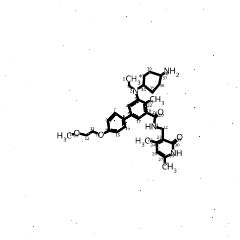 CCN(c1cc(-c2ccc(OCCOC)cc2)cc(C(=O)NCc2c(C)cc(C)[nH]c2=O)c1C)C1CCC(N)CC1